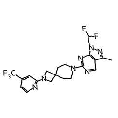 Cc1nn(CC(F)F)c2nc(N3CCC4(CC3)CN(c3cc(C(F)(F)F)ccn3)C4)ncc12